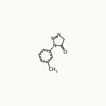 Cc1cccc(N2N=NCC2=O)c1